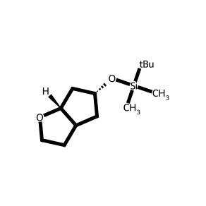 CC(C)(C)[Si](C)(C)O[C@@H]1CC2CCO[C@@H]2C1